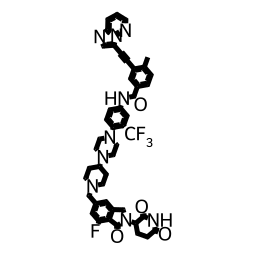 Cc1ccc(C(=O)Nc2ccc(N3CCN(C4CCN(Cc5cc(F)c6c(c5)CN(C5CCC(=O)NC5=O)C6=O)CC4)CC3)c(C(F)(F)F)c2)cc1C#Cc1cnc2cccnn12